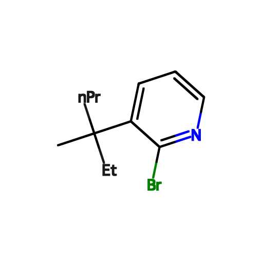 CCCC(C)(CC)c1cccnc1Br